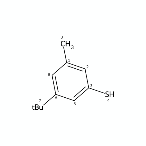 Cc1cc(S)cc(C(C)(C)C)c1